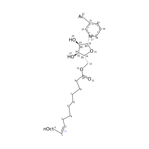 CCCCCCCC/C=C\CCCCCCCC(=O)OC[C@H]1O[C@@H]([n+]2cccc(C(C)=O)c2)[C@H](O)[C@@H]1O